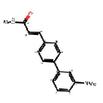 CNc1cccc(-c2ccc(/C=C/C(=O)OC)cc2)c1